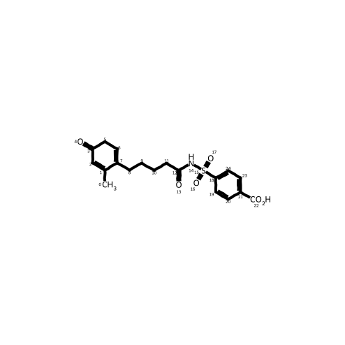 CC1=CC(=O)CC=C1CCCCC(=O)NS(=O)(=O)c1ccc(C(=O)O)cc1